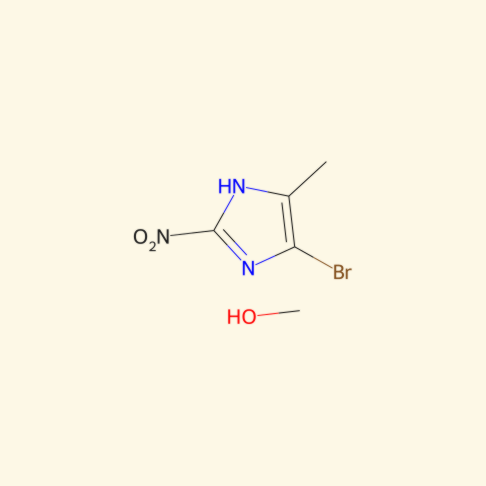 CO.Cc1[nH]c([N+](=O)[O-])nc1Br